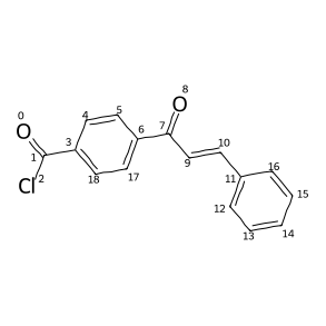 O=C(Cl)c1ccc(C(=O)/C=C/c2ccccc2)cc1